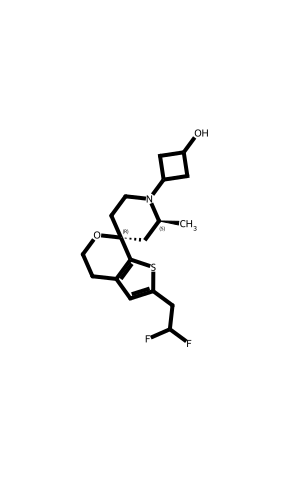 C[C@H]1C[C@@]2(CCN1C1CC(O)C1)OCCc1cc(CC(F)F)sc12